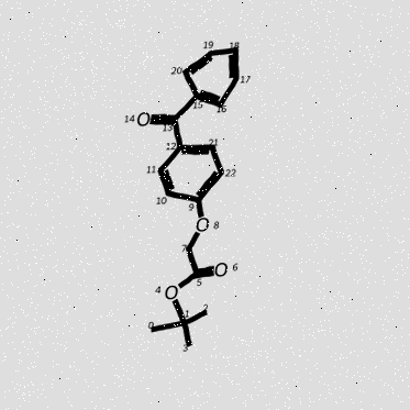 CC(C)(C)OC(=O)COc1ccc(C(=O)c2ccccc2)cc1